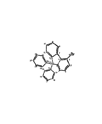 Brc1cccc2c1-c1ccccc1[Si]2(c1ccccc1)c1ccccc1